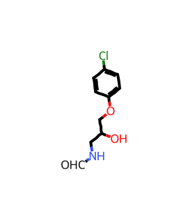 O=CNCC(O)COc1ccc(Cl)cc1